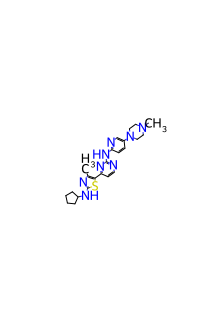 Cc1nc(NC2CCCC2)sc1-c1ccnc(Nc2ccc(N3CCN(C)CC3)cn2)n1